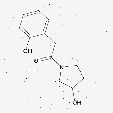 O=C(Cc1ccccc1O)N1CCC(O)C1